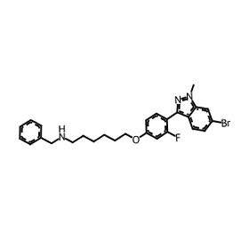 Cn1nc(-c2ccc(OCCCCCCNCc3ccccc3)cc2F)c2ccc(Br)cc21